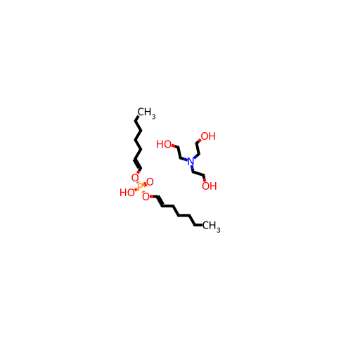 CCCCCC=COP(=O)(O)OC=CCCCCC.OCCN(CCO)CCO